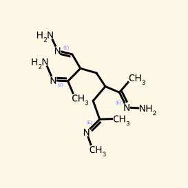 C/N=C(\C)CC(CC(/C=N/N)/C(C)=N\N)/C(C)=N/N